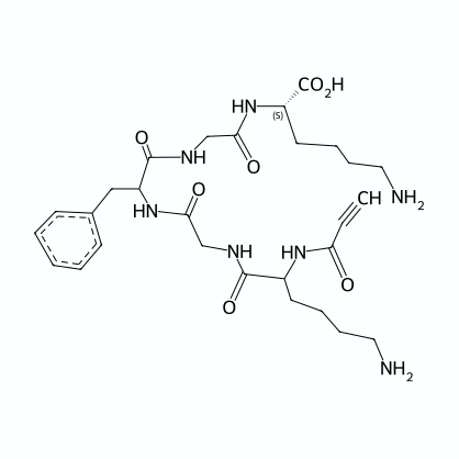 C#CC(=O)NC(CCCCN)C(=O)NCC(=O)NC(Cc1ccccc1)C(=O)NCC(=O)N[C@@H](CCCCN)C(=O)O